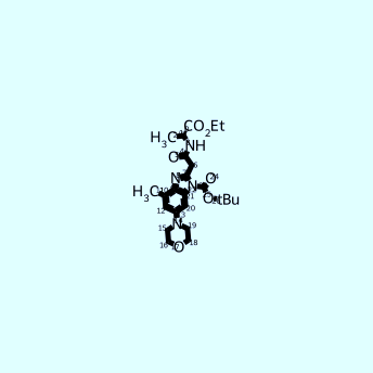 CCOC(=O)[C@H](C)NC(=O)Cc1nc2c(C)cc(N3CCOCC3)cc2n1C(=O)OC(C)(C)C